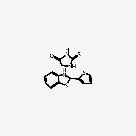 O=C1CNC(=S)N1.c1csc(C2Nc3ccccc3S2)c1